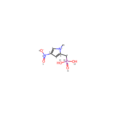 Cn1cc([N+](=O)[O-])cc1CP(=O)(O)O